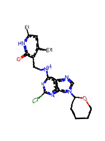 CCc1cc(CC)c(CNc2nc(Cl)nc3c2ncn3C2CCCCO2)c(=O)[nH]1